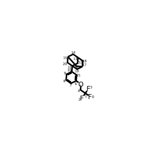 FC(F)(F)COc1cccc(C23CC4CC(CC(C4)C2)C3)c1